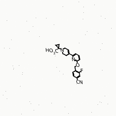 N#Cc1ccc(COc2cccc(C3=CCN(C4(C(=O)O)CC4)CC3)n2)c(F)c1